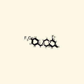 C=C1C=C(F)N2CCN(Cc3ccc(C(F)(F)F)cc3)CC2=C1